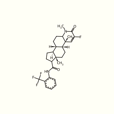 CN1C(=O)C(F)=C[C@@]2(C)C1CC[C@@H]1[C@H]2CC[C@]2(C)C(C(=O)Nc3ccccc3C(F)(F)F)CC[C@@H]12